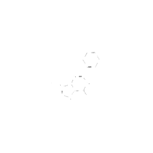 CCSn1c(-c2ccccc2)nc2c(ncn2C(F)(F)F)c1=O